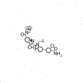 Cc1c(-c2cc3ccc(-c4ccc(C(N)=O)c(Cl)c4)cc3n2CC2CC2)nn2cc(C(=O)N3CC4CC5CC3[C@H]54)ccc12